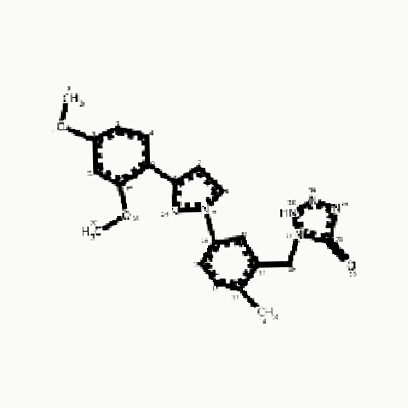 COc1ccc(-c2ccn(-c3ccc(C)c(Cn4[nH]nnc4=O)c3)n2)c(OC)c1